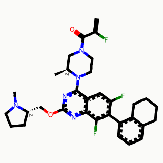 C=C(F)C(=O)N1CCN(c2nc(OC[C@@H]3CCCN3C)nc3c(F)c(-c4cccc5c4CCCC5)c(F)cc23)[C@@H](C)C1